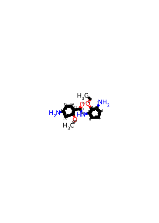 CCOc1c(N)cccc1NC(=O)c1ccc(N)cc1OC